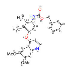 COc1cc2nccc(Oc3ccc(NC(=O)OCc4ccccc4)c(C)c3C)c2cc1OC